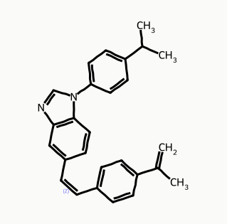 C=C(C)c1ccc(/C=C\c2ccc3c(c2)ncn3-c2ccc(C(C)C)cc2)cc1